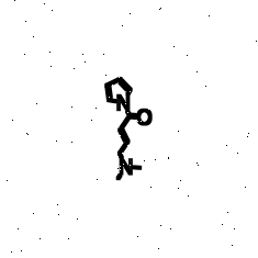 CN(C)C/C=C/C(=O)n1cccc1